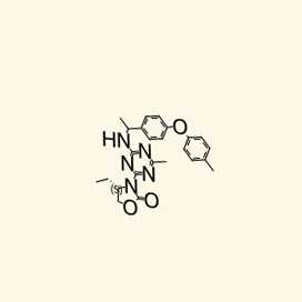 CC[C@H]1COC(=O)N1c1nc(C)nc(NC(C)c2ccc(Oc3ccc(C)cc3)cc2)n1